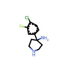 NC1(c2ccc(Cl)c(F)c2)CCNCC1